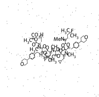 CN[C@@H](CCC(C)(C)F)C(=O)O[C@H](Cc1ccc(C2CCOCC2)cc1)C(=O)N(C)[C@@H](CC1CC1)C(=O)O[C@H](C)C(=O)N(C)[C@@H](CC(C)(C)F)C(=O)O[C@H](CCc1ccc(C2CCOCC2)cc1)C(=O)N(C)[C@@H](CC1CC1)C(=O)O[C@H](C)C(=O)O